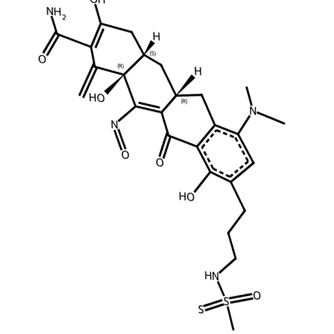 C=C1C(C(N)=O)=C(O)C[C@@H]2C[C@@H]3Cc4c(N(C)C)cc(CCCNS(C)(=O)=S)c(O)c4C(=O)C3=C(N=O)[C@]12O